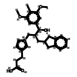 COc1cc([C@@H](O)[C@@H](CC2Cc3ccccc3C2)Cn2ccc(CCC(=O)O)c2)cc(OC)c1C